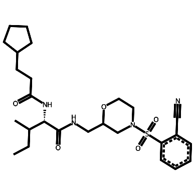 CCC(C)[C@H](NC(=O)CCC1CCCC1)C(=O)NCC1CN(S(=O)(=O)c2ccccc2C#N)CCO1